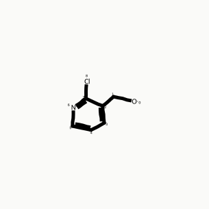 [O]Cc1cccnc1Cl